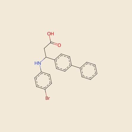 O=C(O)CC(Nc1ccc(Br)cc1)c1ccc(-c2ccccc2)cc1